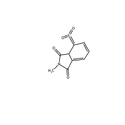 CN1C(=O)C2=CC=CC(=S(=O)=O)C2C1=O